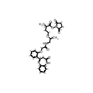 CC(CNC(=O)COc1ccccc1C1=Nc2ccccc2NC(=O)C1)OCCC(C)C(=O)ON1C(=O)CCC1=O